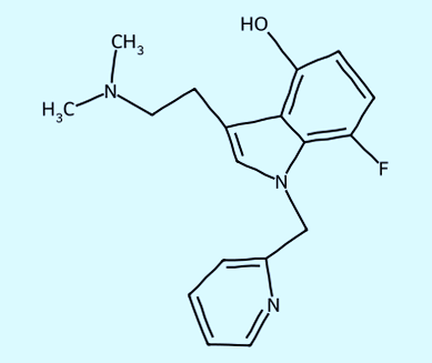 CN(C)CCc1cn(Cc2ccccn2)c2c(F)ccc(O)c12